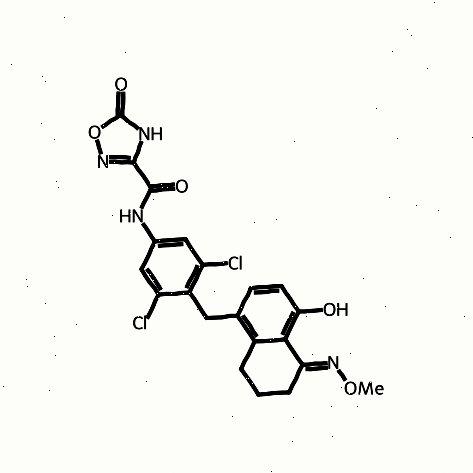 CO/N=C1\CCCc2c(Cc3c(Cl)cc(NC(=O)c4noc(=O)[nH]4)cc3Cl)ccc(O)c21